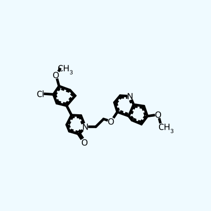 COc1ccc2c(OCCn3cc(-c4ccc(OC)c(Cl)c4)ccc3=O)ccnc2c1